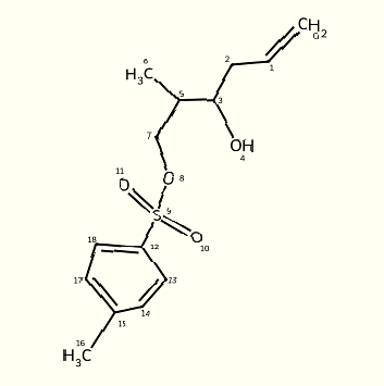 C=CCC(O)C(C)COS(=O)(=O)c1ccc(C)cc1